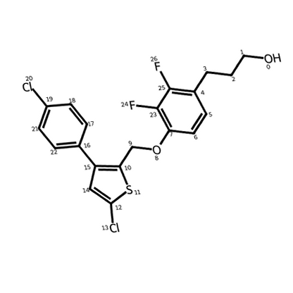 OCCCc1ccc(OCc2sc(Cl)cc2-c2ccc(Cl)cc2)c(F)c1F